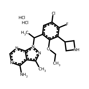 CCOc1c(C(C)n2nc(C)c3c(N)ncnc32)cc(Cl)c(F)c1C1CNC1.Cl.Cl